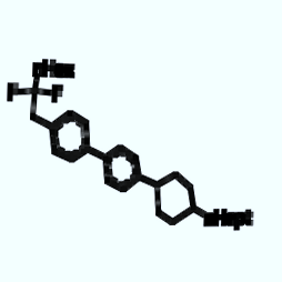 CCCCCCCC1CCC(c2ccc(-c3ccc(CC(F)(F)CCCCCC)cc3)cc2)CC1